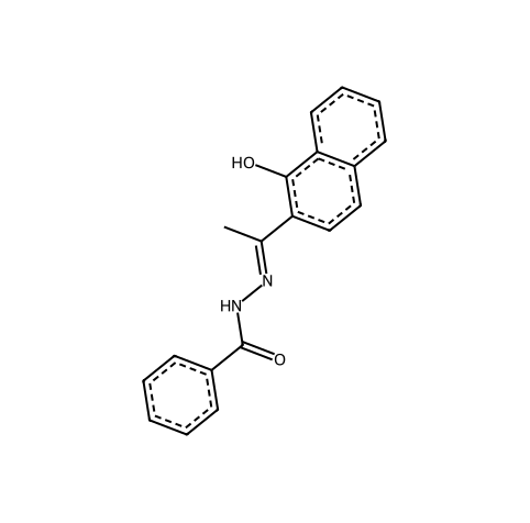 C/C(=N\NC(=O)c1ccccc1)c1ccc2ccccc2c1O